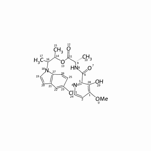 COc1ccnc(C(=O)N[C@@H](C)C(=O)OC(C)C(C)n2ccc3cc(Cl)ccc32)c1O